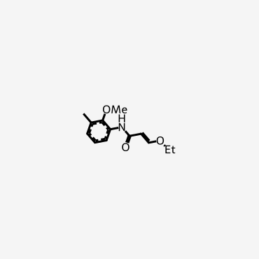 CCO/C=C/C(=O)Nc1cccc(C)c1OC